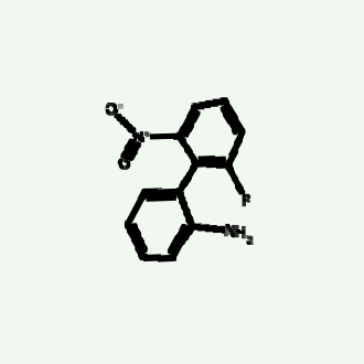 Nc1ccccc1-c1c(F)cccc1[N+](=O)[O-]